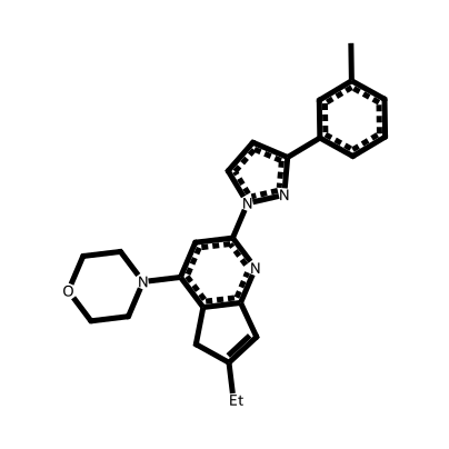 CCC1=Cc2nc(-n3ccc(-c4cccc(C)c4)n3)cc(N3CCOCC3)c2C1